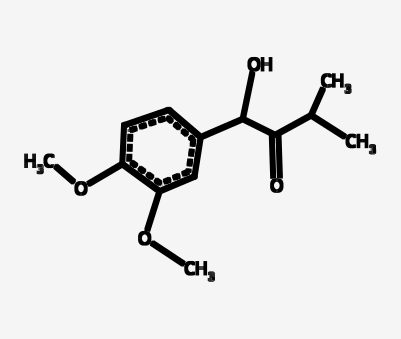 COc1ccc(C(O)C(=O)C(C)C)cc1OC